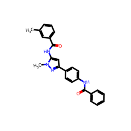 Cc1cccc(C(=O)Nc2cc(-c3ccc(NC(=O)c4ccccc4)cc3)nn2C)c1